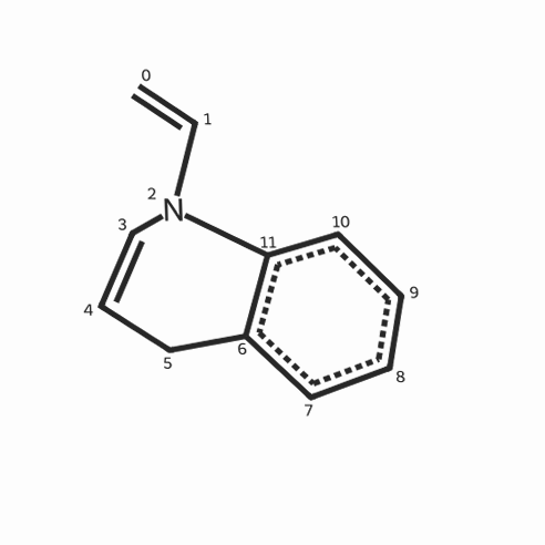 C=CN1C=CCc2ccccc21